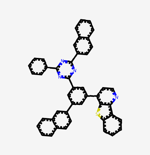 c1ccc(-c2nc(-c3cc(-c4ccc5ccccc5c4)cc(-c4ccnc5c4sc4ccccc45)c3)nc(-c3ccc4ccccc4c3)n2)cc1